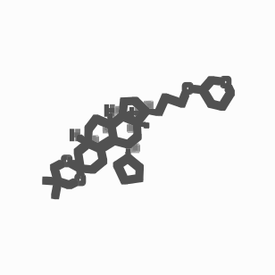 CC1(C)COC2(CCC3=C4[C@@H](CC[C@H]3C2)[C@@H]2CC[C@@H](CCCOC3CCCOC3)[C@@]2(C)C[C@@H]4C2CCCC2)OC1